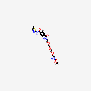 Cc1cnc(NC(=O)c2ccc(C(=O)NCCOCCOCCOCCNC(=O)OC(C)(C)C)cc2C)s1